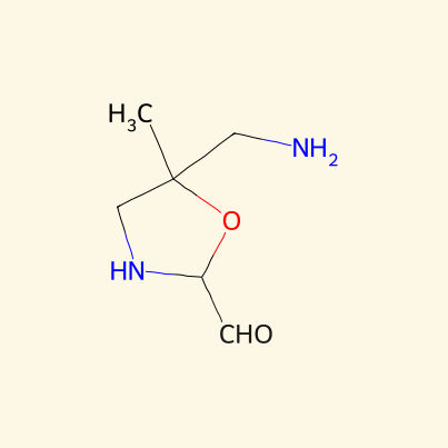 CC1(CN)CNC(C=O)O1